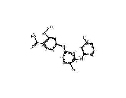 COc1cc(Nc2ncc(N)c(Nc3cccc(F)c3)n2)ccc1C(=O)O